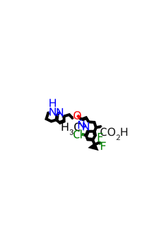 Cn1nc(CC(CC(=O)O)c2cc(Cl)cc(C3(C(F)F)CC3)c2)cc1OCCc1ccc2c(n1)NCCC2